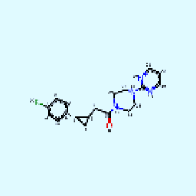 O=C(CC1C[C@@H]1c1ccc(F)cc1)N1CCN(c2ncccn2)CC1